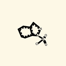 O=S(=O)(Cl)n1ncc2ccccc21